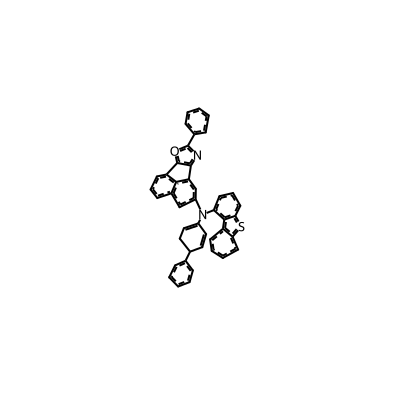 C1=CC(c2ccccc2)CC=C1N(c1cc2c3c(cccc3c1)-c1oc(-c3ccccc3)nc1-2)c1cccc2sc3ccccc3c12